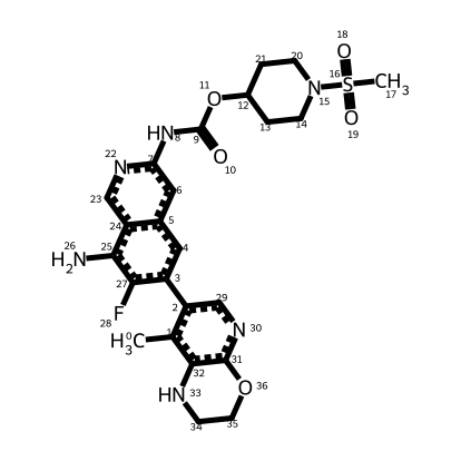 Cc1c(-c2cc3cc(NC(=O)OC4CCN(S(C)(=O)=O)CC4)ncc3c(N)c2F)cnc2c1NCCO2